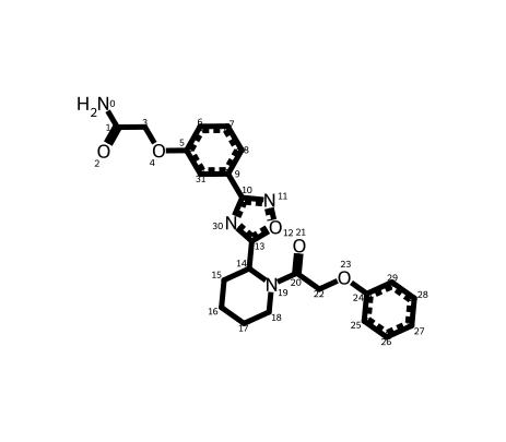 NC(=O)COc1cccc(-c2noc(C3CCCCN3C(=O)COc3ccccc3)n2)c1